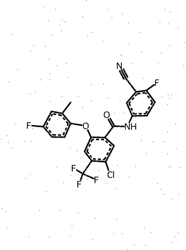 Cc1cc(F)ccc1Oc1cc(C(F)(F)F)c(Cl)cc1C(=O)Nc1ccc(F)c(C#N)c1